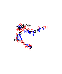 C=C1C[C@H]2[C@H](O)N(C(=O)OCc3ccc(NC(=O)[C@H](C)NC(=O)[C@@H](NC(=O)CCOCCOCCNC(=O)CCN4C(=O)C=CC4=O)C(C)C)cc3)c3cc(OCCCC(=O)Nc4cc(C(=O)Nc5ccc(-c6cc(C(=O)NCCCO)n(C)c6)cc5)n(C)c4)c(OC)cc3C(=O)N2C1